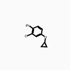 CC(C)c1ccc(OC2CC2)cc1Cl